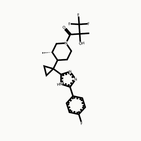 C[C@@H]1CN(C(=O)C(C)(O)C(F)(F)F)CCC1C1(c2nnc(-c3ccc(F)cc3)[nH]2)CC1